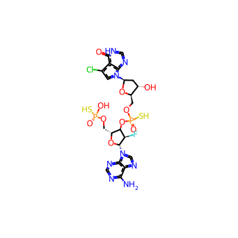 Nc1ncnc2c1ncn2[C@@H]1O[C@H](COP(=O)(O)S)[C@@H](OP(=O)(S)OC[C@H]2O[C@@H](n3cc(Cl)c4c(=O)[nH]cnc43)C[C@@H]2O)[C@H]1F